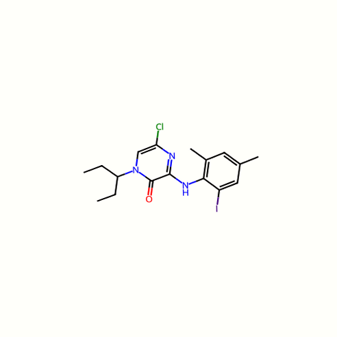 CCC(CC)n1cc(Cl)nc(Nc2c(C)cc(C)cc2I)c1=O